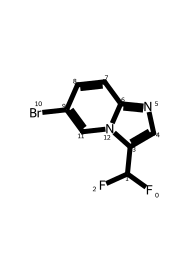 FC(F)c1cnc2ccc(Br)cn12